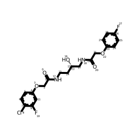 O=C(COc1ccc(Cl)c(F)c1)NCC[C@H](O)CNC(=O)COc1ccc(F)cc1